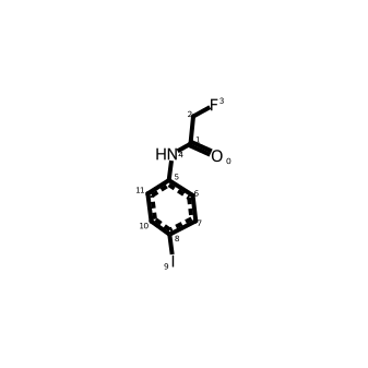 O=C(CF)Nc1ccc(I)cc1